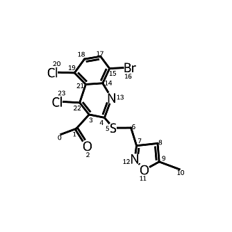 CC(=O)c1c(SCc2cc(C)on2)nc2c(Br)ccc(Cl)c2c1Cl